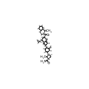 C[C@@H]1c2ccccc2CCN1C(=O)c1cc(C2CC2)n2nc(-c3ccc(N4CC[C@H](C(N)=O)[C@@H]4C)cc3F)cc2n1